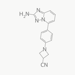 N#CC1CN(c2ccc(-c3cccc4nc(N)nn34)cc2)C1